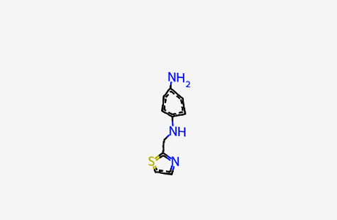 Nc1ccc(NCc2nccs2)cc1